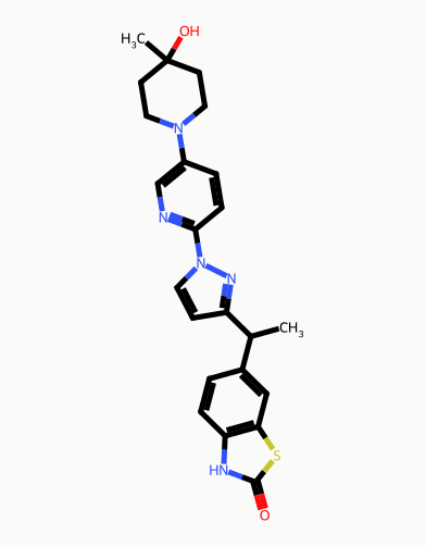 CC(c1ccc2[nH]c(=O)sc2c1)c1ccn(-c2ccc(N3CCC(C)(O)CC3)cn2)n1